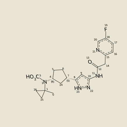 CC1(N(C(=O)O)[C@@H]2CC[C@H](c3cc(NC(=O)Cc4ccc(F)cn4)n[nH]3)C2)CC1